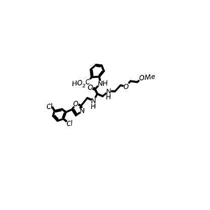 COCCOCCNCC(NCc1ncc(-c2cc(Cl)ccc2Cl)o1)C(=O)Nc1ccccc1C(=O)O